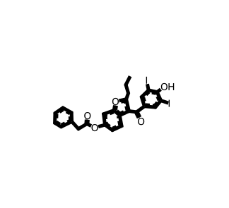 CCCc1oc2cc(OC(=O)Cc3ccccc3)ccc2c1C(=O)c1cc(I)c(O)c(I)c1